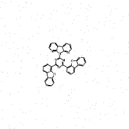 c1ccc2c(c1)oc1c(-c3nc(-c4cccc5c4oc4ccccc45)nc(-n4c5ncccc5c5cccnc54)n3)cccc12